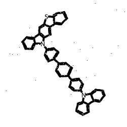 c1ccc2c(c1)sc1cc3c4ccccc4n(-c4ccc(-c5ccc(-c6ccc(-n7c8ccccc8c8ccccc87)cc6)cc5)cc4)c3cc12